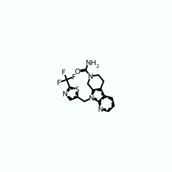 NC(=O)N1CCc2c(n(Cc3cnc(C(F)(F)F)s3)c3ncccc23)C1